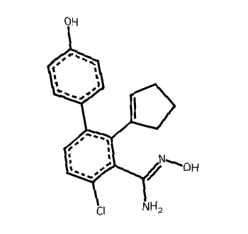 NC(=NO)c1c(Cl)ccc(-c2ccc(O)cc2)c1C1=CCCC1